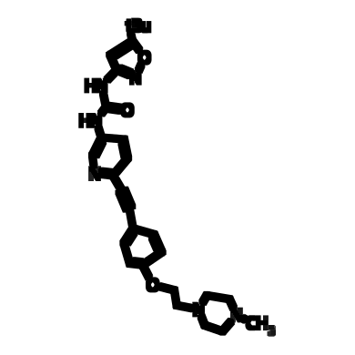 CN1CCN(CCOc2ccc(C#Cc3ccc(NC(=O)Nc4cc(C(C)(C)C)on4)cn3)cc2)CC1